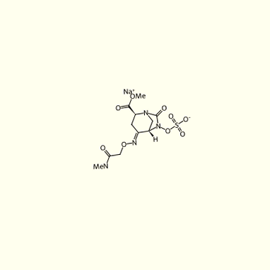 CNC(=O)CO/N=C1\C[C@@H](C(=O)OC)N2C[C@@H]1N(OS(=O)(=O)[O-])C2=O.[Na+]